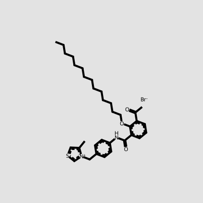 CCCCCCCCCCCCCCOc1c(C(C)=O)cccc1C(=O)Nc1ccc(C[n+]2cscc2C)cc1.[Br-]